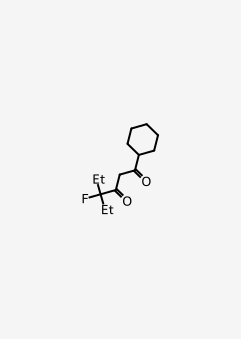 CCC(F)(CC)C(=O)CC(=O)C1CCCCC1